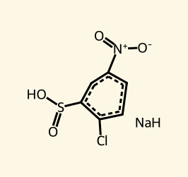 O=[N+]([O-])c1ccc(Cl)c(S(=O)O)c1.[NaH]